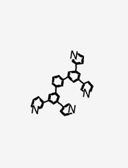 C1=C=NC=C(c2cc(-c3cccnc3)cc(-c3cccc(-c4cc(-c5cccnc5)cc(-c5cccnc5)c4)c3)c2)C=1